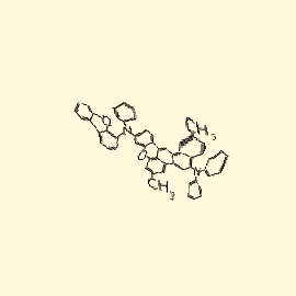 Cc1ccc2c(N(c3ccccc3)c3ccccc3)cc3c4cc(C)cc5c4c(cc3c2c1)-c1ccc(N(c2ccccc2)c2cccc3c2oc2ccccc23)cc1O5